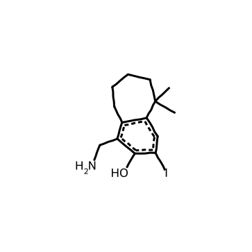 CC1(C)CCCCc2c1cc(I)c(O)c2CN